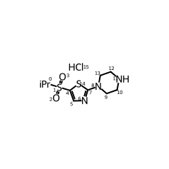 CC(C)S(=O)(=O)c1cnc(N2CCNCC2)s1.Cl